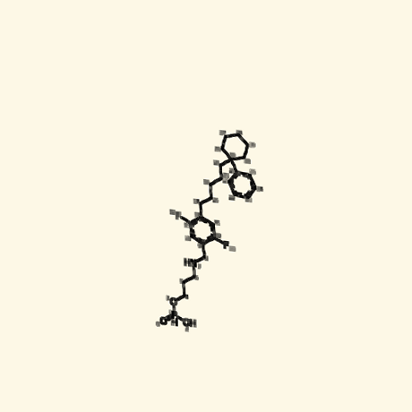 O=[PH](O)OCCCNCc1cc(F)c(CCCCCC2(c3ccccc3)CCCCC2)cc1F